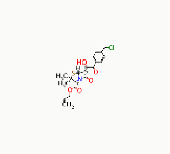 C=CCOC(=O)[C@@H]1N2C(=O)[C@@H]([C@H](O)C(=O)c3ccc(CCl)cc3)[C@H]2SC1(C)C